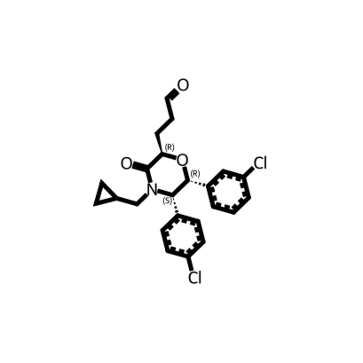 O=CCC[C@H]1O[C@H](c2cccc(Cl)c2)[C@H](c2ccc(Cl)cc2)N(CC2CC2)C1=O